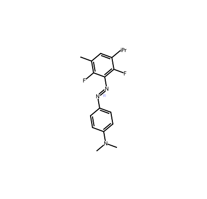 Cc1cc(C(C)C)c(F)c(/N=N/c2ccc(N(C)C)cc2)c1F